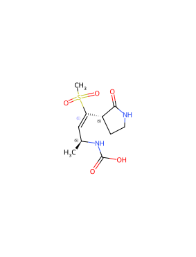 C[C@@H](/C=C(\[C@H]1CCNC1=O)S(C)(=O)=O)NC(=O)O